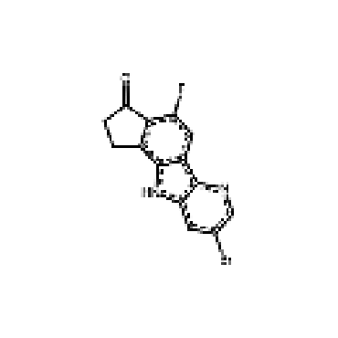 O=C1CCc2c1c(F)cc1c2[nH]c2cc(Br)cnc21